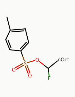 CCCCCCCCC(F)OS(=O)(=O)c1ccc(C)cc1